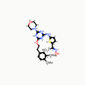 COc1ccc(CCOc2nc(Nc3ccc(/C(=N/O)C(=O)O)s3)nc(N3CCOCC3)n2)cc1OC